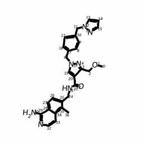 COCc1nn(Cc2ccc(Cn3cccn3)cc2)cc1C(=O)NCc1ccc2c(N)nccc2c1C